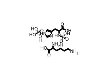 NCCCCC(N)C(=O)O.O=C(O)C(Cc1c[nH]cn1)NP(=O)(O)O.O=P(O)(O)O